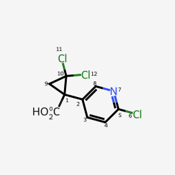 O=C(O)C1(c2ccc(Cl)nc2)CC1(Cl)Cl